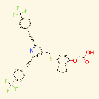 O=C(O)COc1ccc(SCc2cc(C#Cc3ccc(C(F)(F)F)cc3)nc(C#Cc3ccc(C(F)(F)F)cc3)c2)c2c1CCC2